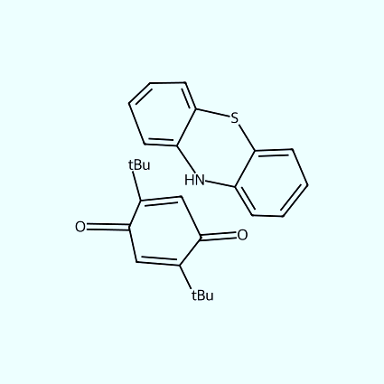 CC(C)(C)C1=CC(=O)C(C(C)(C)C)=CC1=O.c1ccc2c(c1)Nc1ccccc1S2